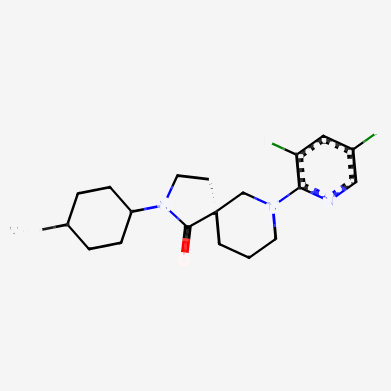 COC1CCC(N2CC[C@]3(CCCN(c4ncc(F)cc4F)C3)C2=O)CC1